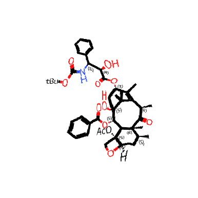 CC(=O)O[C@@]12CO[C@@H]1C[C@H](C)[C@@]1(C)C(=O)[C@H](C)C3=C(C)[C@@H](OC(=O)[C@H](O)[C@@H](NC(=O)OC(C)(C)C)c4ccccc4)C[C@@](O)([C@@H](OC(=O)c4ccccc4)C12)C3(C)C